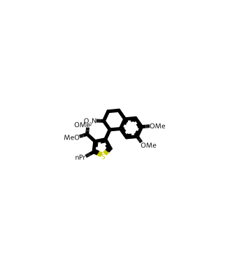 CCCc1scc(C2c3cc(OC)c(OC)cc3CCC2[N+](=O)[O-])c1C(OC)OC